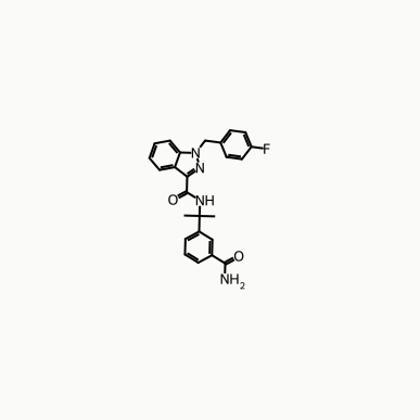 CC(C)(NC(=O)c1nn(Cc2ccc(F)cc2)c2ccccc12)c1cccc(C(N)=O)c1